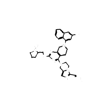 C=Cc1ncc2n1CCN(c1nc(OCC3CCCN3C)nc3c1CCN(c1cc(O)cc4ccccc14)C3)C2